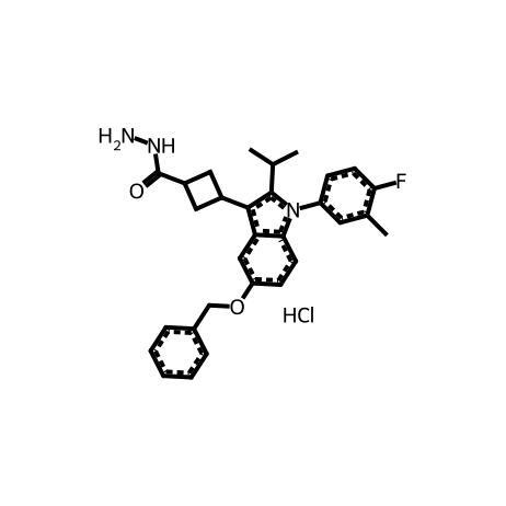 Cc1cc(-n2c(C(C)C)c(C3CC(C(=O)NN)C3)c3cc(OCc4ccccc4)ccc32)ccc1F.Cl